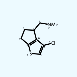 CNCC1CCc2scc(Cl)c21